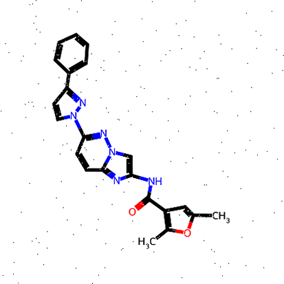 Cc1cc(C(=O)Nc2cn3nc(-n4ccc(-c5ccccc5)n4)ccc3n2)c(C)o1